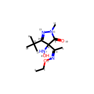 CCO/N=C(/C)C1(NO)C(=O)N(C)N=C1C(C)(C)C